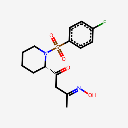 CC(CC(=O)[C@@H]1CCCCN1S(=O)(=O)c1ccc(F)cc1)=NO